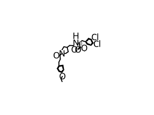 CCOc1ccc(CCC(=O)N2CCC(CC(=O)N[C@@H](Cc3ccc(Cl)c(Cl)c3)C(=O)OC)CC2)cc1